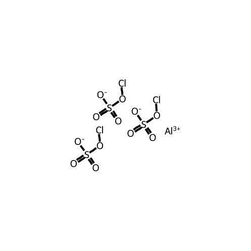 O=S(=O)([O-])OCl.O=S(=O)([O-])OCl.O=S(=O)([O-])OCl.[Al+3]